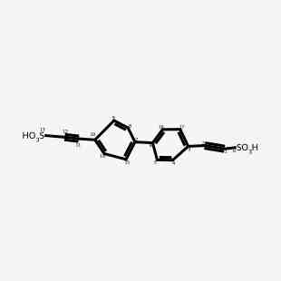 O=S(=O)(O)C#Cc1ccc(-c2ccc(C#CS(=O)(=O)O)cc2)cc1